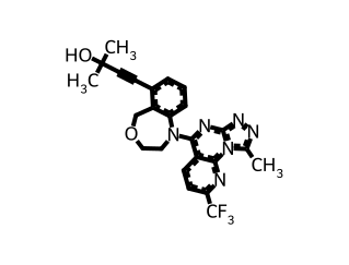 Cc1nnc2nc(N3CCOCc4c(C#CC(C)(C)O)cccc43)c3ccc(C(F)(F)F)nc3n12